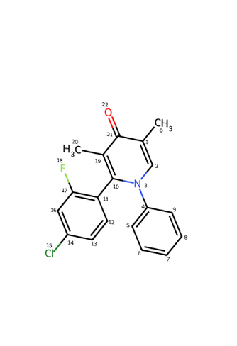 Cc1cn(-c2ccccc2)c(-c2ccc(Cl)cc2F)c(C)c1=O